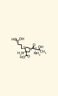 C[C@@H](O)[C@H](N)C(=O)N1C[C@H](CCCB(O)O)[C@](N)(C(=O)O)C1